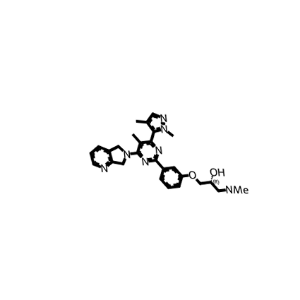 CNC[C@@H](O)COc1cccc(-c2nc(-c3c(C)cnn3C)c(C)c(N3Cc4cccnc4C3)n2)c1